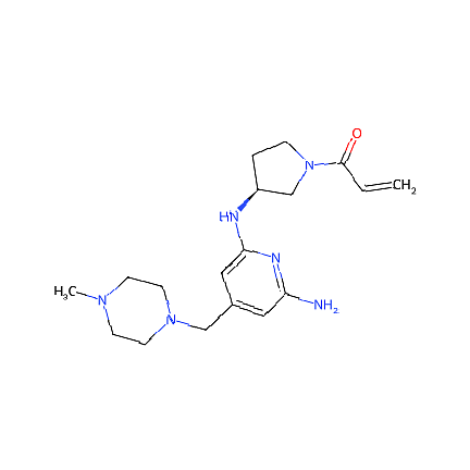 C=CC(=O)N1CC[C@H](Nc2cc(CN3CCN(C)CC3)cc(N)n2)C1